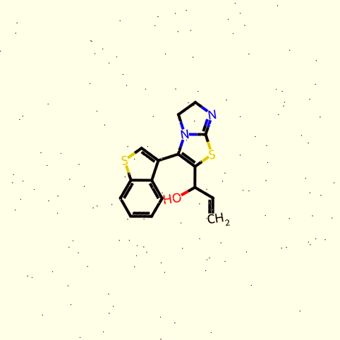 C=CC(O)C1=C(c2csc3ccccc23)N2CCN=C2S1